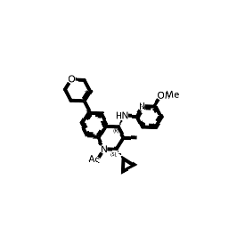 COc1cccc(N[C@H]2c3cc(C4=CCOCC4)ccc3N(C(C)=O)[C@@H](C3CC3)C2C)n1